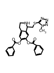 Cn1nnnc1SCC1NCCc2cc(OC(=O)c3ccccc3)c(OC(=O)c3ccccc3)cc21